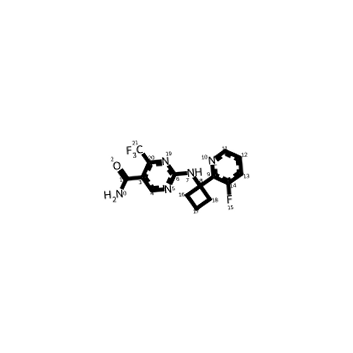 NC(=O)c1cnc(NC2(c3ncccc3F)CCC2)nc1C(F)(F)F